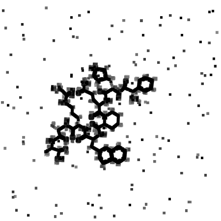 C[C@H](NC(=O)[C@H](CCCNC(=N)N)NC(=O)[C@H](Cc1ccc2ccccc2c1)NC(=O)[C@@H]1CCCCN1C(=O)[C@@H](CCC(=O)O)NC(=O)[C@H](Cc1c[nH]cn1)NC(=O)[C@@H](N)c1ccccc1)C(=O)N[C@H](C)C(=O)O